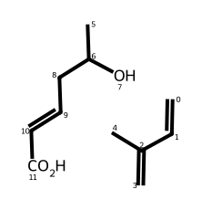 C=CC(=C)C.CC(O)CC=CC(=O)O